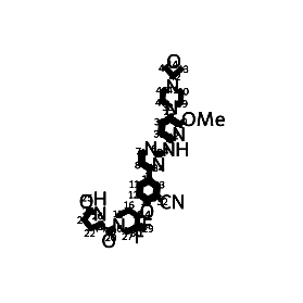 COc1nc(Nc2nccc(-c3ccc(OC4CCN(C(=O)[C@@H]5CCC(=O)N5)CC4(F)F)c(C#N)c3)n2)ccc1N1CCN(C2COC2)CC1